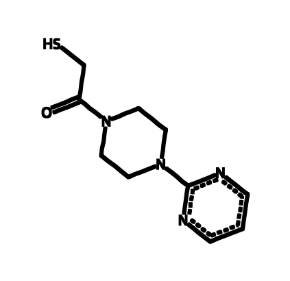 O=C(CS)N1CCN(c2ncccn2)CC1